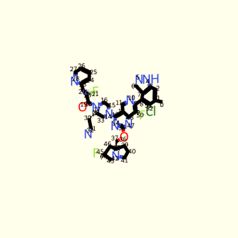 Cc1cc2[nH]ncc2c(-c2ncc3c(N4CCN(C(=O)/C(F)=C/c5ccccn5)[C@@H](CC#N)C4)nc(OC[C@@]45CCCN4C[C@H](F)C5)nc3c2F)c1Cl